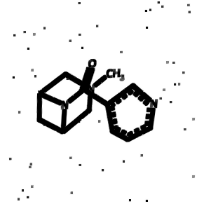 CN1CC2CC(C1)N2C(=O)c1cccnc1